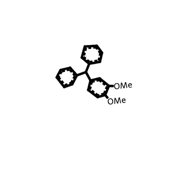 COc1ccc(C(c2ccccc2)c2ccccc2)cc1OC